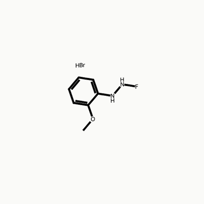 Br.COc1ccccc1NNF